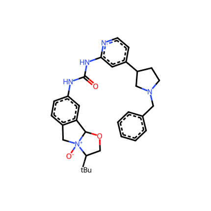 CC(C)(C)C1COC2c3cc(NC(=O)Nc4cc(C5CCN(Cc6ccccc6)C5)ccn4)ccc3C[N+]21[O-]